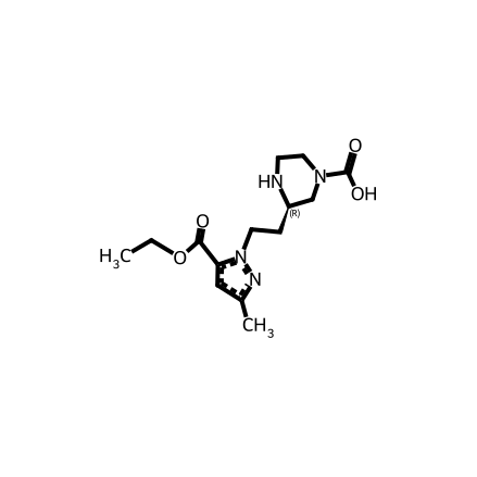 CCOC(=O)c1cc(C)nn1CC[C@@H]1CN(C(=O)O)CCN1